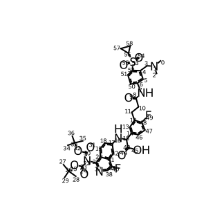 CN(C)Cc1cc(NC(=O)CCc2cc(C(Nc3ccc4c(N(C(=O)OC(C)(C)C)C(=O)OC(C)(C)C)ncc(F)c4c3)C(=O)O)ccc2F)ccc1S(=O)(=O)C1CC1